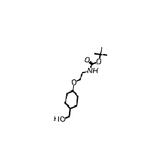 CC(C)(C)OC(=O)NCCOC1CCC(CO)CC1